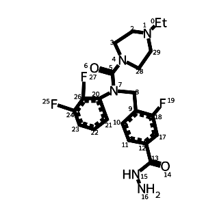 CCN1CCN(C(=O)N(Cc2ccc(C(=O)NN)cc2F)c2cccc(F)c2F)CC1